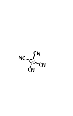 N#[C][Ga-]([C]#N)([C]#N)[C]#N